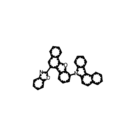 c1ccc2c(c1)cc(-c1nc3ccccc3o1)c1c3cccc(-n4c5ccccc5c5c6ccccc6ccc54)c3oc21